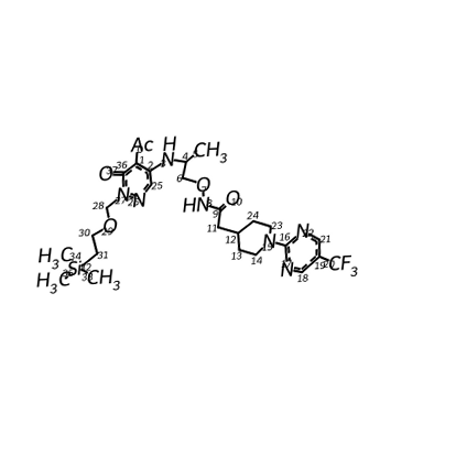 CC(=O)c1c(NC(C)CONC(=O)CC2CCN(c3ncc(C(F)(F)F)cn3)CC2)cnn(COCC[Si](C)(C)C)c1=O